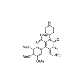 COC(=O)c1c(-c2cc(OC)c(OC)c(OC)c2)c2ccccc2c(=O)n1C1CCNCC1.Cl